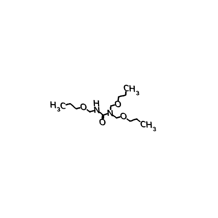 CCCOCNC(=O)N(COCCC)COCCC